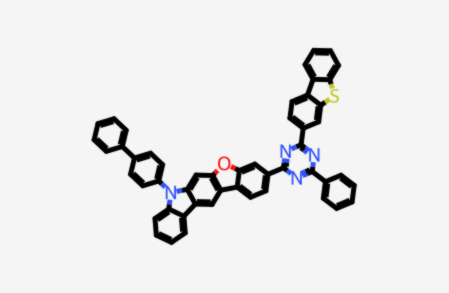 c1ccc(-c2ccc(-n3c4ccccc4c4cc5c(cc43)oc3cc(-c4nc(-c6ccccc6)nc(-c6ccc7c(c6)sc6ccccc67)n4)ccc35)cc2)cc1